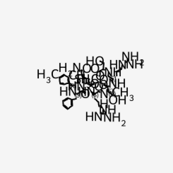 COC(=O)C(CO)NC(=O)[C@H](CCCNC(=N)N)NC(=O)[C@@H](NC(=O)[C@H](CCCNC(=N)N)NC(=O)C(CCC(N)=O)NC(=O)[C@H](Cc1ccccc1)N[C@@H](CS)c1ccc(C)cc1C)[C@@H](C)O